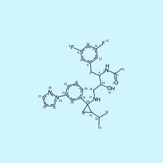 CC(=O)NC(Cc1cc(F)cc(F)c1)C(O)CNC1(c2cccc(-n3cccn3)c2)CC1C(C)C